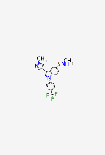 CNSc1ccc2c(c1)c(-c1cnn(C)c1)cn2-c1ccc(C(F)(F)F)cc1